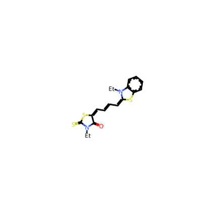 CCN1C(=O)C(=CC=CC=C2Sc3ccccc3N2CC)SC1=S